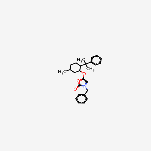 CC1CCC(C(C)(C)c2ccccc2)C(Oc2cn(Cc3ccccc3)c(=O)o2)C1